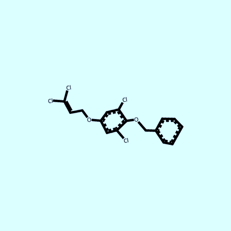 ClC(Cl)=CCOc1cc(Cl)c(OCc2ccccc2)c(Cl)c1